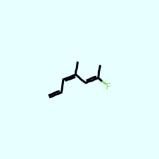 C=C/C=C(C)\C=C(/C)F